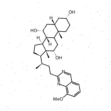 COc1cccc2cnc(CC[C@@H](C)[C@H]3CC[C@H]4[C@H]5C(C[C@H](O)[C@]34C)[C@@]3(C)CC[C@@H](O)C[C@H]3C[C@H]5O)nc12